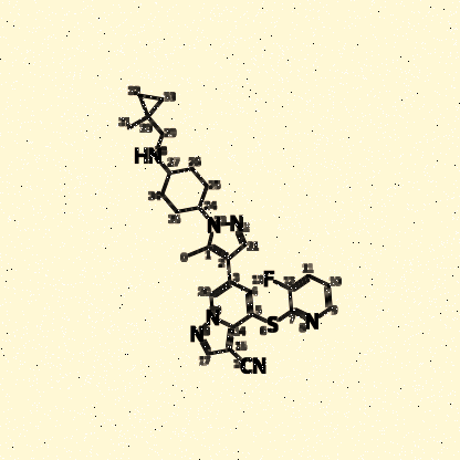 Cc1c(-c2cc(Sc3ncccc3F)c3c(C#N)cnn3c2)cnn1C1CCC(NCC2(C)CC2)CC1